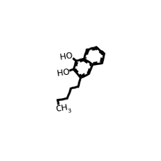 CCCCCc1cc2ccccc2c(O)c1O